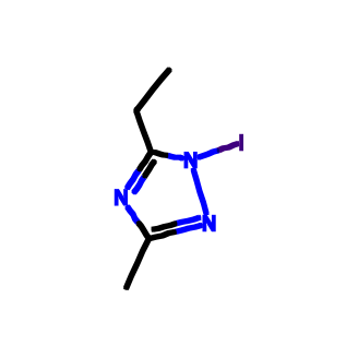 CCc1nc(C)nn1I